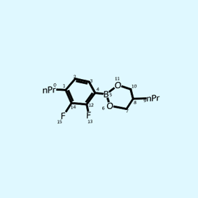 CCCc1ccc(B2OCC(CCC)CO2)c(F)c1F